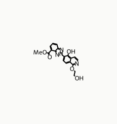 COC(=O)c1cccc2nn(-c3ccc4c(OCCO)nccc4c3O)nc12